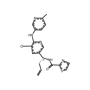 C=CC[C@@H](NC(=O)c1nccs1)c1cnc(Nc2ccc(C)nc2)c(Cl)c1